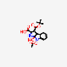 CC(=O)ON1C2=CC=CCC2C2C(C(=O)OC(C)(C)C)C(C(=O)O)NC21O